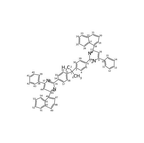 CC(C)(c1ccc(-c2nc(-c3ccccc3)cc(-c3cccc4ccccc34)n2)cc1)c1ccc(-c2nc(-c3ccccc3)cc(-c3cccc4ccccc34)n2)cc1